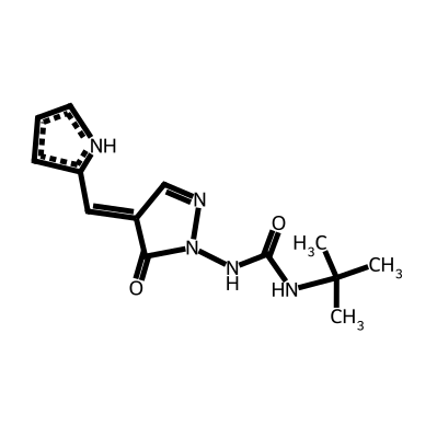 CC(C)(C)NC(=O)NN1N=CC(=Cc2ccc[nH]2)C1=O